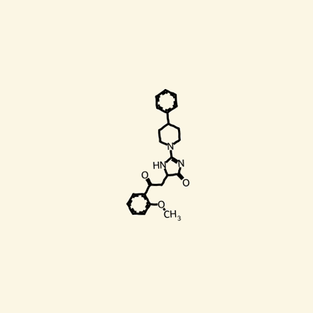 COc1ccccc1C(=O)CC1NC(N2CCC(c3ccccc3)CC2)=NC1=O